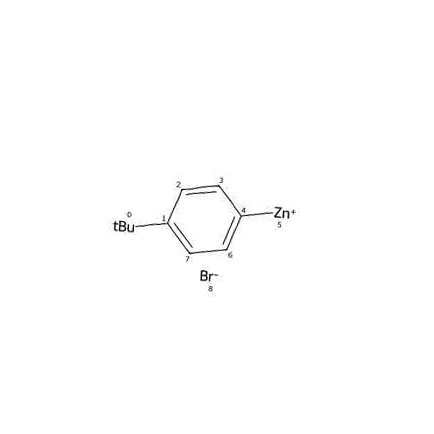 CC(C)(C)c1cc[c]([Zn+])cc1.[Br-]